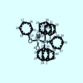 c1ccc(O[PH](Oc2ccccc2)(Oc2ccccc2)[PH](c2ccccc2)(c2ccccc2)c2ccccc2)cc1